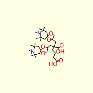 CN1C(C)(C)CC2(CC1(C)C)OCC(CC(CCCC(=O)O)(CC1COC3(CC(C)(C)N(C)C(C)(C)C3)O1)C(=O)O)O2